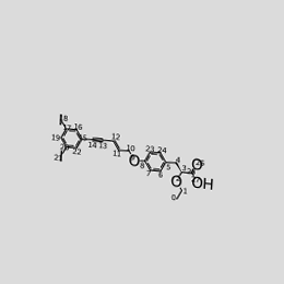 CCO[C@@H](Cc1ccc(OCC=CC#Cc2cc(I)cc(I)c2)cc1)C(=O)O